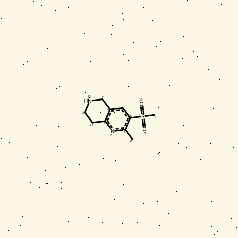 Cc1nc2c(cc1S(C)(=O)=O)CNCC2